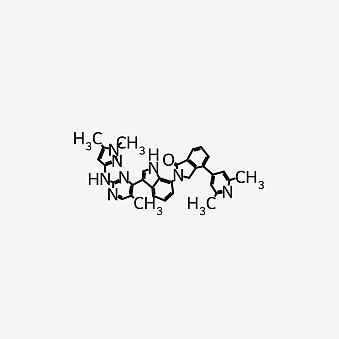 Cc1cc(-c2cccc3c2CN(c2cccc4c(-c5nc(Nc6cc(C)n(C)n6)ncc5C)c[nH]c24)C3=O)cc(C)n1